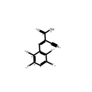 N#CC(=Cc1c(F)c(F)cc(F)c1F)C(=O)O